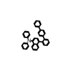 c1ccc(-c2ccc(-c3ccccc3-c3ccc(N(c4ccccc4)c4ccccc4)c4ccccc34)cc2)cc1